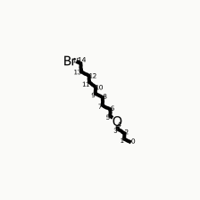 CCCCOCCCCCCCCCCBr